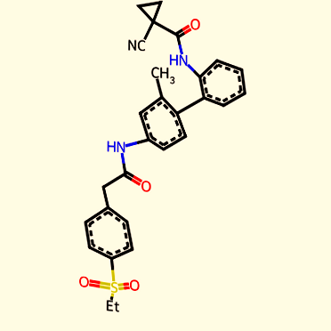 CCS(=O)(=O)c1ccc(CC(=O)Nc2ccc(-c3ccccc3NC(=O)C3(C#N)CC3)c(C)c2)cc1